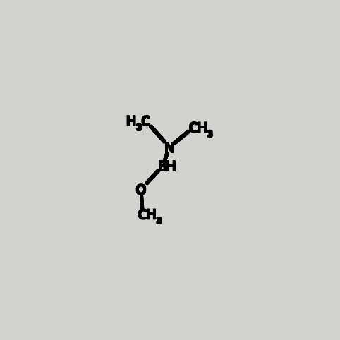 COBN(C)C